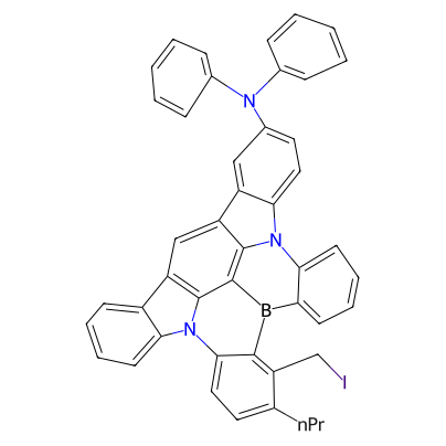 CCCc1ccc2c(c1CI)B1c3ccccc3-n3c4ccc(N(c5ccccc5)c5ccccc5)cc4c4cc5c6ccccc6n-2c5c1c43